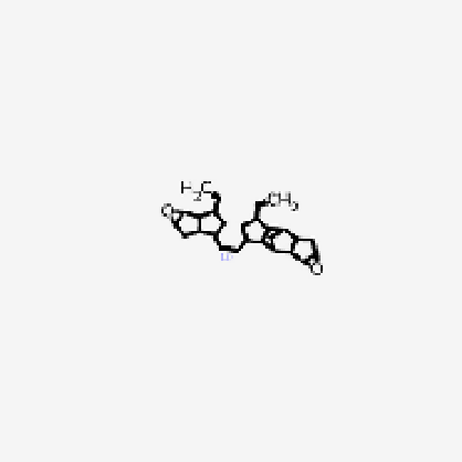 C=CC1CC(/C=C\C2CC(C=C)C3C4CC(C5C4CC4OC45)C23)C2CC3OC3C12